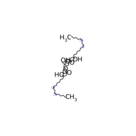 CCCCC/C=C\C/C=C\CCCCCC(O)CC(=O)OOCC(CO)OOC(=O)CC(O)CCCCC/C=C\C/C=C\CCCCC